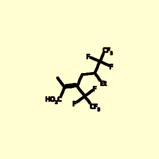 CCC(CC(=C(C)C(=O)O)C(F)(F)C(F)(F)F)C(F)(F)C(F)(F)F